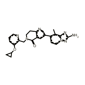 Cc1c(-c2cnc3c(c2)C(=O)N(Cc2ncccc2OC2CC2)CC3)ccn2nc(N)nc12